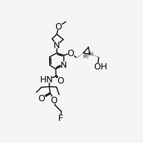 CCC(CC)(NC(=O)c1ccc(N2CC(OC)C2)c(OC[C@@H]2C[C@@H]2CO)n1)C(=O)OCCF